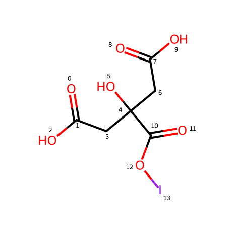 O=C(O)CC(O)(CC(=O)O)C(=O)OI